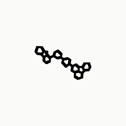 c1cc(-c2ccc(-c3cc4c5c(cccc5c3)-c3ccccc3-4)cc2)cc(-c2cccc3c2oc2ccccc23)c1